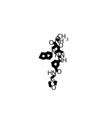 CONC(=O)c1cn(-c2ccc3c(c2)CCC3)c2nc(Nc3cccc(C(=O)NCCN4CCOCC4)c3)ncc2c1=O